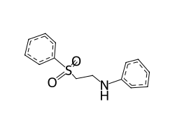 O=S(=O)(CCNc1ccccc1)c1ccccc1